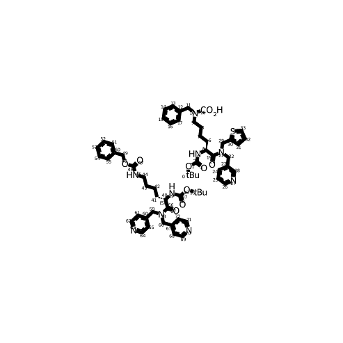 CC(C)(C)OC(=O)N[C@@H](CCCCN(Cc1ccccc1)C(=O)O)C(=O)N(Cc1cccnc1)Cc1cccs1.CC(C)(C)OC(=O)N[C@@H](CCCCNC(=O)OCc1ccccc1)C(=O)N(Cc1ccncc1)Cc1ccncc1